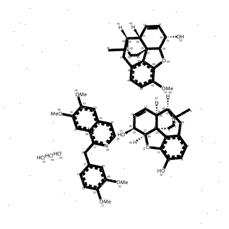 CN1CC[C@]23c4c5ccc(O)c4O[C@H]2[C@@H](O)C=C[C@H]3[C@H]1C5.COc1ccc(Cc2nccc3cc(OC)c(OC)cc23)cc1OC.COc1ccc2c3c1OC1[C@@H](O)C=C[C@H]4[C@@H](C2)N(C)CC[C@]314.Cl.Cl.Cl